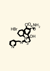 Br.NS(=O)(=O)c1cc(C2(O)CSC(=NCc3cccnc3)N2C2CCCCC2)ccc1Cl